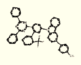 Cc1ccc(-c2ccc3c(c2)c2ccccc2n3-c2ccc(-c3nc(-c4ccccc4)nc(-c4ccccc4)n3)c(-c3ccccc3C(F)(F)F)c2)cc1